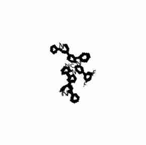 N#Cc1c(-n2c3ccccc3c3cc(-c4ccnc(-c5ccccc5)c4)ccc32)cc(-c2cc(F)cc(F)c2)cc1-n1c2ccccc2c2cc(-c3ccnc(-c4ccccc4)c3)ccc21